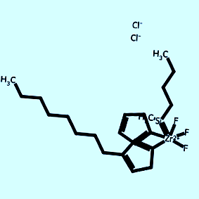 CCCCCCCCC1=CC[C]([Zr+2]([F])([F])([F])([C]2=CC=CC2)=[Si](C)CCCC)=C1.[Cl-].[Cl-]